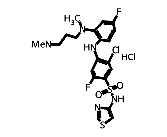 CNCCCN(C)c1cc(F)ccc1Nc1cc(F)c(S(=O)(=O)Nc2cscn2)cc1Cl.Cl